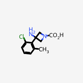 Cc1cccc(Cl)c1C1(N)CN(C(=O)O)C1